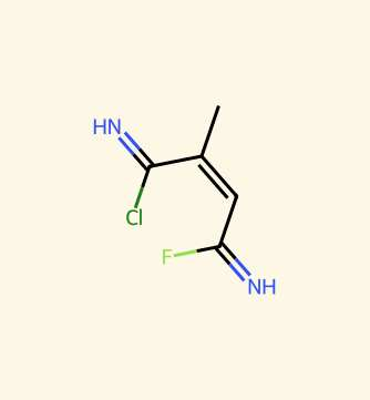 C/C(=C/C(=N)F)C(=N)Cl